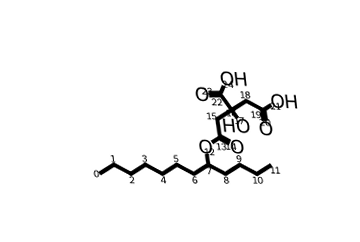 CCCCCCCC(CCCC)OC(=O)CC(O)(CC(=O)O)C(=O)O